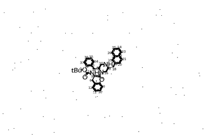 CC(C)(C)OC(=O)N[C@H](Cc1ccccc1)C(=O)N1C[C@@H](Cc2ccc3ccccc3c2)NC[C@@H]1Cc1ccccc1